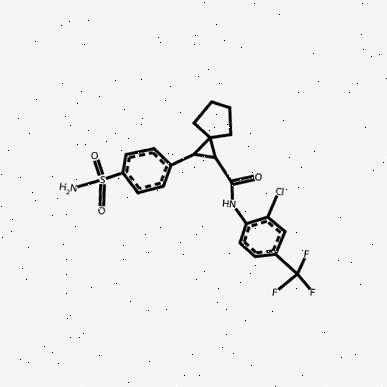 NS(=O)(=O)c1ccc(C2C(C(=O)Nc3ccc(C(F)(F)F)cc3Cl)C23CCCC3)cc1